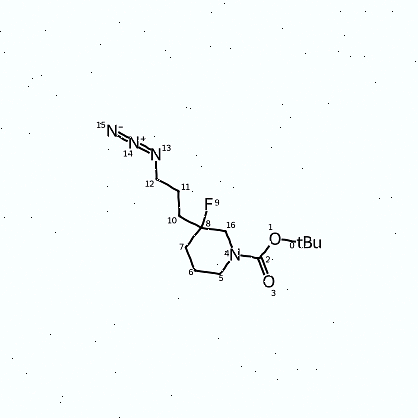 CC(C)(C)OC(=O)N1CCCC(F)(CCCN=[N+]=[N-])C1